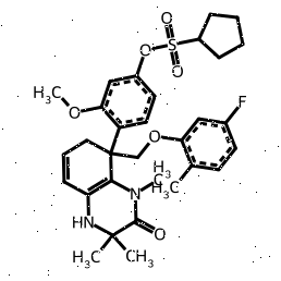 COc1cc(OS(=O)(=O)C2CCCC2)ccc1C1(COc2cc(F)ccc2C)CC=CC2=C1N(C)C(=O)C(C)(C)N2